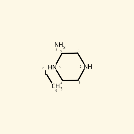 C1CNCCN1.CI.N